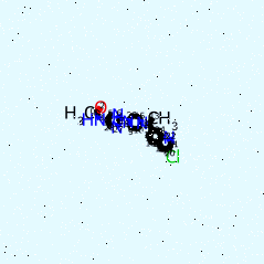 CC(=O)Nc1cnc(N2CCN(C(C)c3ccc4cc(Cl)cnc4c3)CC2)nc1